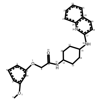 COc1cccc(OCC(=O)NC2CCC(Nc3ccc4ccccc4n3)CC2)c1